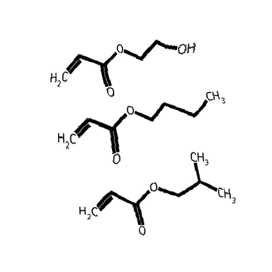 C=CC(=O)OCC(C)C.C=CC(=O)OCCCC.C=CC(=O)OCCO